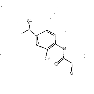 CC(=O)C(C)c1ccc(NC(=O)CCl)c(O)c1